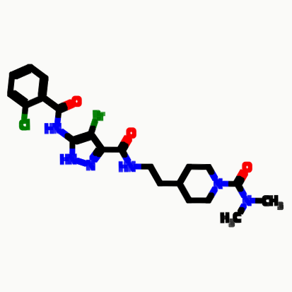 CN(C)C(=O)N1CCC(CCNC(=O)c2n[nH]c(NC(=O)c3ccccc3Cl)c2Br)CC1